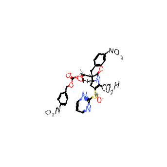 C[C@@H](OC(=O)OCc1ccc([N+](=O)[O-])cc1)[C@]1(Cc2ccc([N+](=O)[O-])cc2)C(=O)N2C(C(=O)O)=C([S@+]([O-])c3ncccn3)C[C@H]21